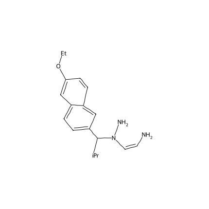 CCOc1ccc2cc(C(C(C)C)N(N)/C=C\N)ccc2c1